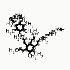 C=CCc1c(C)c(C)c(CC=C)c(CC=C)c1CC=C.Cc1c(C)c(C)c(C)c(C)c1C.N=C=O.N=C=O.N=C=O.N=C=O